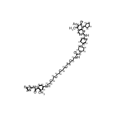 CC(=O)c1c(C)c2cnc(Nc3ccc(N4CCN(CC(=O)NCCOCCOCCOCCOCCOCCNc5ccc(C(=O)Nc6ncc(F)s6)c(C)c5)CC4)cn3)nc2n(C2CCCC2)c1=O